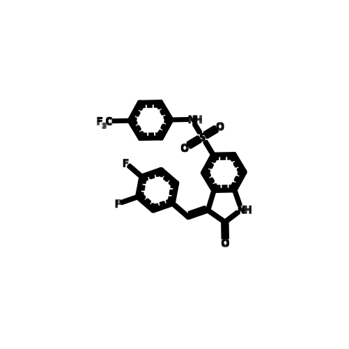 O=C1Nc2ccc(S(=O)(=O)Nc3ccc(C(F)(F)F)cc3)cc2C1=Cc1ccc(F)c(F)c1